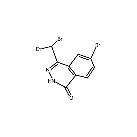 CCC(Br)c1n[nH]c(=O)c2ccc(Br)cc12